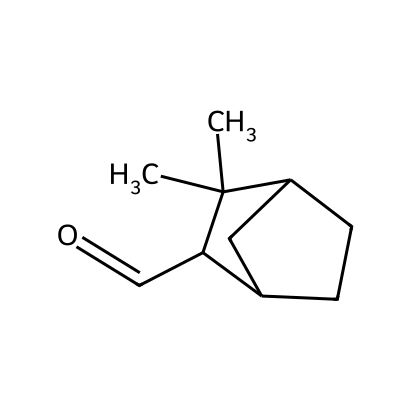 CC1(C)C2CCC(C2)C1C=O